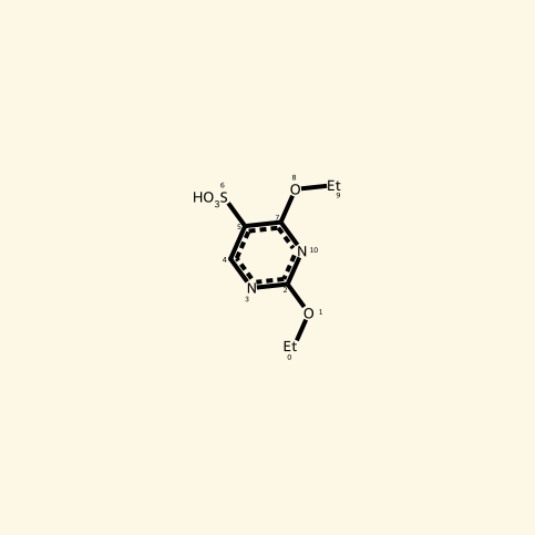 CCOc1ncc(S(=O)(=O)O)c(OCC)n1